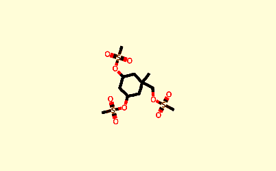 CC1(COS(C)(=O)=O)CC(OS(C)(=O)=O)CC(OS(C)(=O)=O)C1